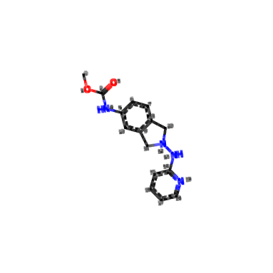 COC(=O)Nc1ccc2c(c1)CN(Nc1ccccn1)C2